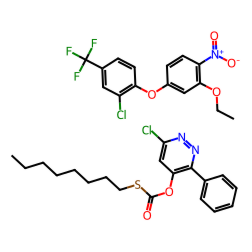 CCCCCCCCSC(=O)Oc1cc(Cl)nnc1-c1ccccc1.CCOc1cc(Oc2ccc(C(F)(F)F)cc2Cl)ccc1[N+](=O)[O-]